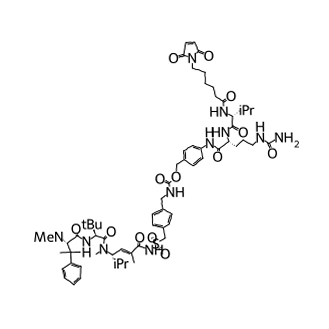 CN[C@H](C(=O)N[C@H](C(=O)N(C)[C@H](/C=C(\C)C(=O)NS(=O)(=O)Cc1ccc(CNC(=O)OCc2ccc(NC(=O)[C@@H](CCCNC(N)=O)NC(=O)[C@H](NC(=O)CCCCCN3C(=O)C=CC3=O)C(C)C)cc2)cc1)C(C)C)C(C)(C)C)C(C)(C)c1ccccc1